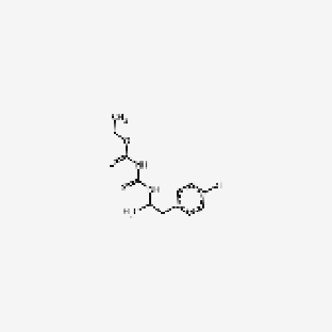 CCOC(=O)NC(=S)NC(C)Cc1ccc(Cl)cc1